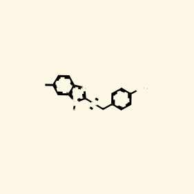 COc1ccc(CS(=O)(=O)c2nc3ccc(F)cc3n2C)cc1